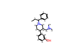 CCC(c1ccccc1)N1CCC(c2cccc(O)c2)C(CN(C)C)C1